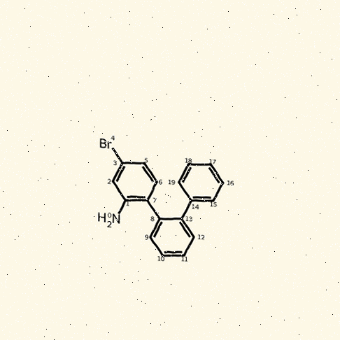 Nc1cc(Br)ccc1-c1ccccc1-c1ccccc1